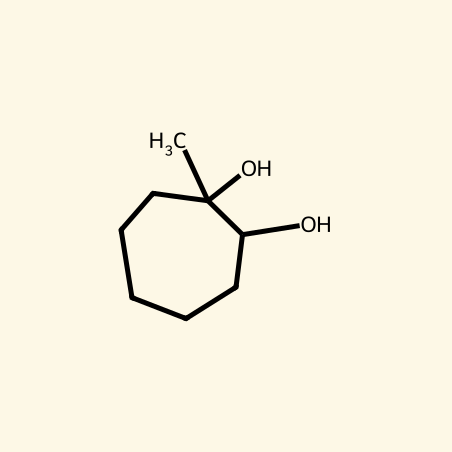 CC1(O)CCCCCC1O